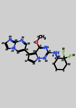 COc1nc(N[C@@H]2CCCCC2(F)F)nn2ccc(-c3cnc4nccn4c3)c12